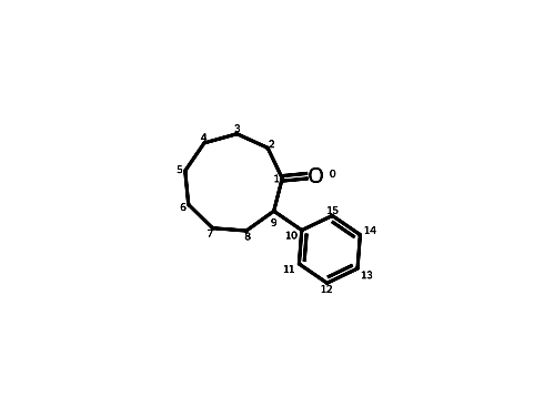 O=C1CCCCCCCC1c1ccccc1